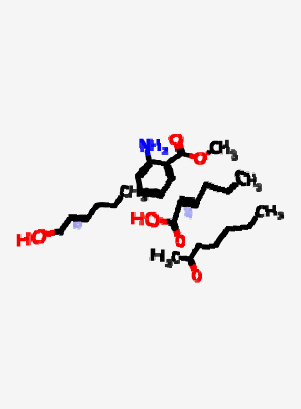 CCC/C=C/C(=O)O.CCC/C=C/CO.CCCCCC(C)=O.COC(=O)c1ccccc1N